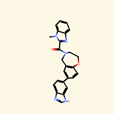 Cn1c(C(=O)N2CCOc3ccc(-c4ccc5nc[nH]c5c4)cc3C2)nc2ccccc21